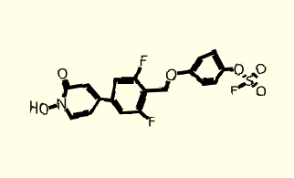 O=c1cc(-c2cc(F)c(COc3ccc(OS(=O)(=O)F)cc3)c(F)c2)ccn1O